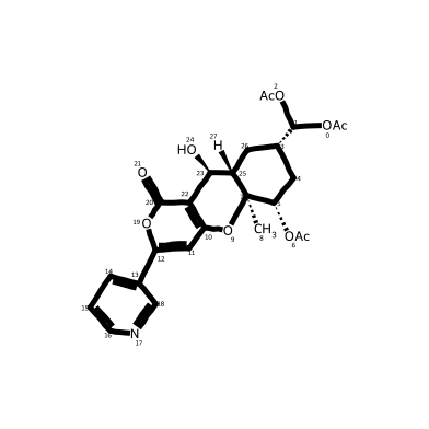 CC(=O)OC(OC(C)=O)[C@@H]1C[C@H](OC(C)=O)[C@@]2(C)Oc3cc(-c4cccnc4)oc(=O)c3[C@@H](O)[C@@H]2C1